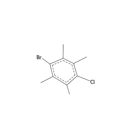 Cc1c(C)c(Br)c(C)c(C)c1Cl